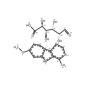 COc1ccc2c(c1)[nH]c1c(C)nccc12.O=C[C@H](O)[C@@H](O)[C@@H](O)[C@H](O)C(=O)O